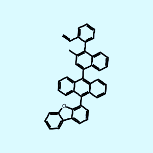 C=Cc1ccccc1-c1c(C)cc(-c2c3ccccc3c(-c3cccc4c3oc3ccccc34)c3ccccc23)c2ccccc12